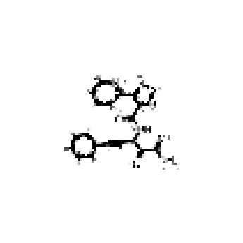 NC(=O)C(=O)C(C#Cc1ccccc1)NC(=O)c1nsnc1-c1ccccn1